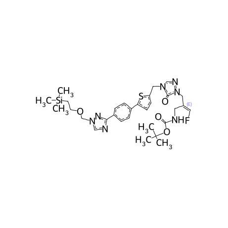 CC(C)(C)OC(=O)NC/C(=C\F)Cn1ncn(Cc2ccc(-c3ccc(-c4ncn(COCC[Si](C)(C)C)n4)cc3)s2)c1=O